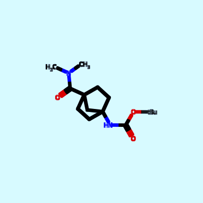 CN(C)C(=O)C12CCC(NC(=O)OC(C)(C)C)(CC1)C2